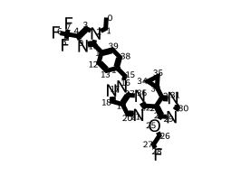 CCn1cc(C(F)(F)F)nc1-c1ccc(Cn2ncc3cnc(-c4c(OCCF)ncnc4C4CC4)nc32)cc1